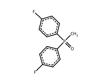 CP(=O)(c1ccc(F)cc1)c1ccc(F)cc1